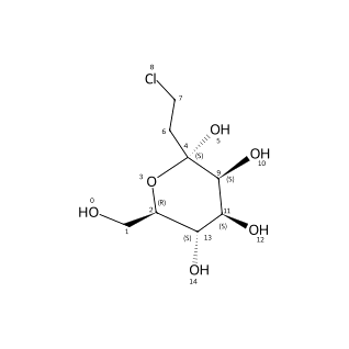 OC[C@H]1O[C@@](O)(CCCl)[C@@H](O)[C@@H](O)[C@@H]1O